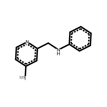 [123I]c1ccnc(CNc2ccccc2)c1